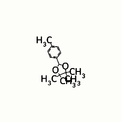 Cc1ccc(C2OC(C)(C)C(C)(C)O2)cc1